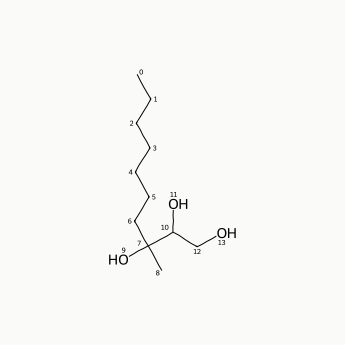 CCCCCCCC(C)(O)C(O)CO